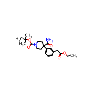 CCOC(=O)Cc1cccc(C2(C(N)=O)CCN(C(=O)OC(C)(C)C)CC2)c1